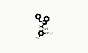 N#Cc1ccc([AsH]C(=O)c2cc3ccccc3n2Cc2ccccc2)c(C(=O)O)c1